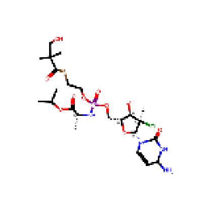 CC(C)OC(=O)[C@@H](C)NP(=O)(OCCSC(=O)C(C)(C)CO)OC[C@H]1O[C@@H](N2C=CC(N)NC2=O)[C@](C)(Cl)[C@@H]1O